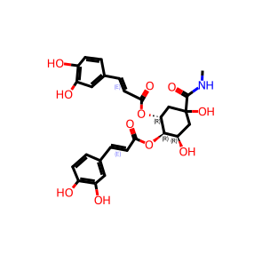 CNC(=O)C1(O)C[C@@H](O)[C@@H](OC(=O)/C=C/c2ccc(O)c(O)c2)[C@H](OC(=O)/C=C/c2ccc(O)c(O)c2)C1